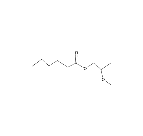 CCCCCC(=O)OCC(C)OC